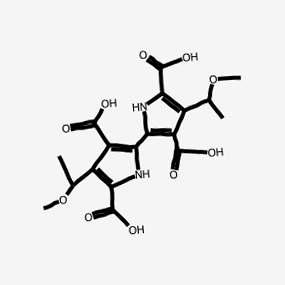 COC(C)c1c(C(=O)O)[nH]c(-c2[nH]c(C(=O)O)c(C(C)OC)c2C(=O)O)c1C(=O)O